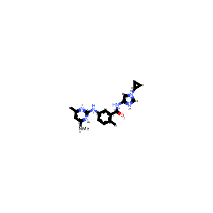 CNc1cc(C)nc(Nc2ccc(C)c(C(=O)Nc3cn(C4CC4)cn3)c2)n1